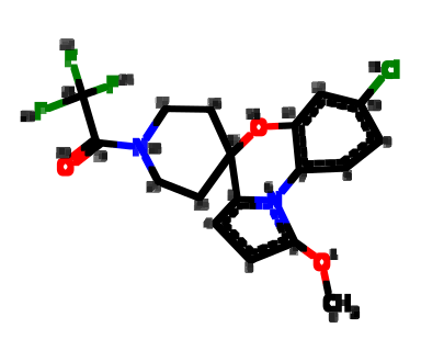 COc1ccc2n1-c1ccc(Cl)cc1OC21CCN(C(=O)C(F)(F)F)CC1